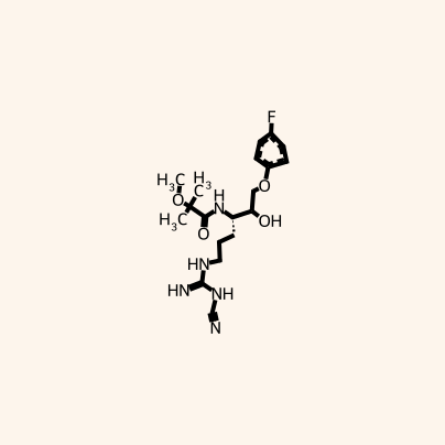 COC(C)(C)C(=O)N[C@@H](CCCNC(=N)NC#N)C(O)COc1ccc(F)cc1